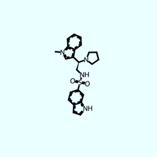 Cn1cc([C@H](CNS(=O)(=O)c2ccc3cc[nH]c3c2)N2CCCC2)c2ccccc21